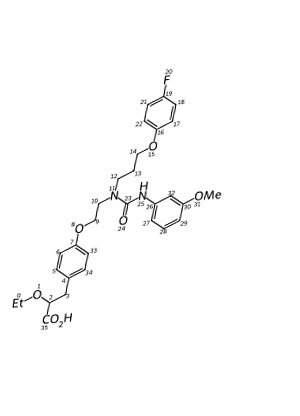 CCOC(Cc1ccc(OCCN(CCCOc2ccc(F)cc2)C(=O)Nc2cccc(OC)c2)cc1)C(=O)O